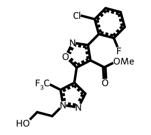 COC(=O)c1c(-c2c(F)cccc2Cl)noc1-c1cnn(CCO)c1C(F)(F)F